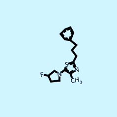 Cc1nc(CCCc2ccccc2)sc1N1CCC(F)C1